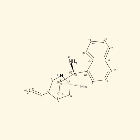 C=CC1CN2CCC1C[C@@H]2[C@@H](N)c1ccnc2ccccc12